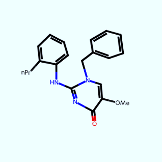 CCCc1ccccc1Nc1nc(=O)c(OC)cn1Cc1ccccc1